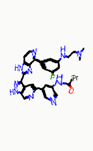 CC(C)C(=O)Nc1cncc(-c2cc3c(-c4nc5c(-c6cc(F)cc(NCCN(C)C)c6)nccc5[nH]4)n[nH]c3cn2)c1